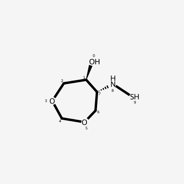 O[C@@H]1COCOC[C@H]1NS